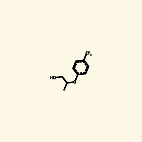 CC(CO)Oc1ccc(C(F)(F)F)cc1